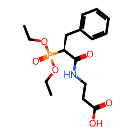 CCOP(=O)(OCC)[C@@H](Cc1ccccc1)C(=O)NCCC(=O)O